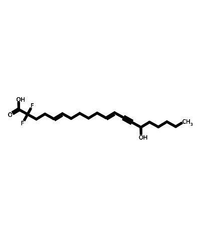 CCCCCC(O)C#CC=CCCCCC=CCCC(F)(F)C(=O)O